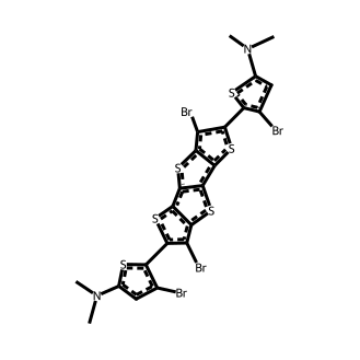 CN(C)c1cc(Br)c(-c2sc3c(sc4c5sc(-c6sc(N(C)C)cc6Br)c(Br)c5sc34)c2Br)s1